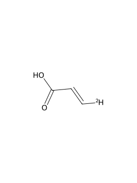 [2H]/C=C/C(=O)O